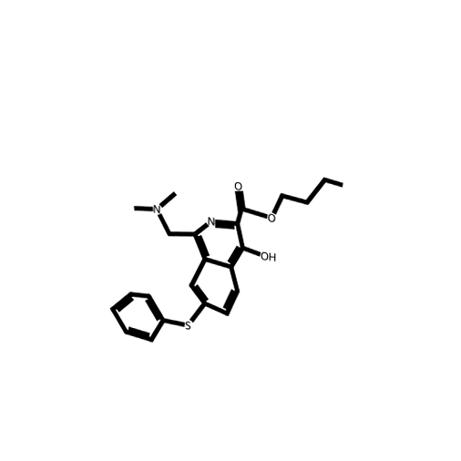 CCCCOC(=O)c1nc(CN(C)C)c2cc(Sc3ccccc3)ccc2c1O